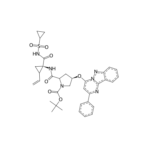 C=CC1C[C@]1(NC(=O)C1C[C@@H](Oc2cc(-c3ccccc3)nc3c4ccccc4nn23)CN1C(=O)OC(C)(C)C)C(=O)NS(=O)(=O)C1CC1